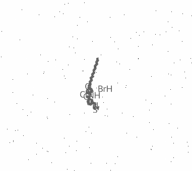 Br.CCCCCCCCCCCCCCOc1ccc(NC(=O)c2cccc(CN3C=CSC3)c2)c(Cl)c1